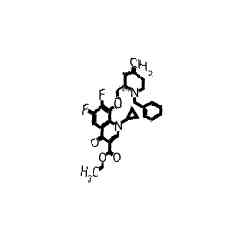 C=C1CCN(Cc2ccccc2)[C@@H](COc2c(F)c(F)cc3c(=O)c(C(=O)OCC)cn(C4CC4)c23)C1